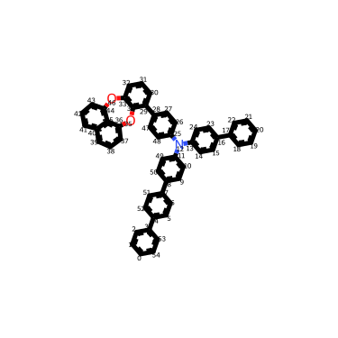 c1ccc(-c2ccc(-c3ccc(N(c4ccc(-c5ccccc5)cc4)c4ccc(-c5cccc6c5Oc5cccc7cccc(c57)O6)cc4)cc3)cc2)cc1